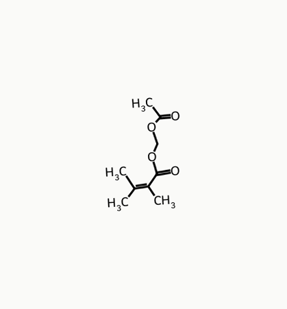 CC(=O)OCOC(=O)C(C)=C(C)C